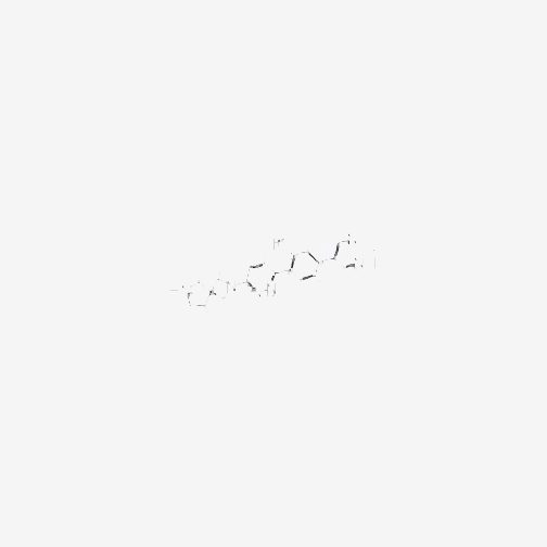 N=C/C(=C\N)c1ccc(-c2ccc(N3CC4(CCNC4)C3)nn2)c(O)c1